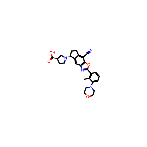 Cc1c(-c2nc3cc4c(c(C#N)c3o2)CC[C@H]4N2CC[C@@H](C(=O)O)C2)cccc1N1CCOCC1